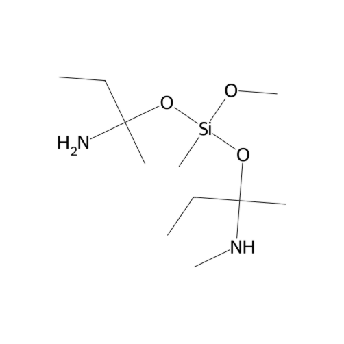 CCC(C)(N)O[Si](C)(OC)OC(C)(CC)NC